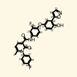 Cc1ccc(C(=O)Nc2ccc(Oc3ccc(O)c(-c4ccno4)c3)c(F)c2)c(=O)n1-c1ccc(F)cc1